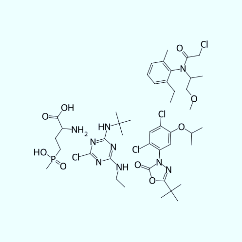 CC(C)Oc1cc(-n2nc(C(C)(C)C)oc2=O)c(Cl)cc1Cl.CCNc1nc(Cl)nc(NC(C)(C)C)n1.CCc1cccc(C)c1N(C(=O)CCl)C(C)COC.CP(=O)(O)CCC(N)C(=O)O